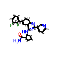 NC(=O)C1CCCC1Nc1nc(-c2cccnc2)nc2ccc(-c3cccc(F)c3F)cc12